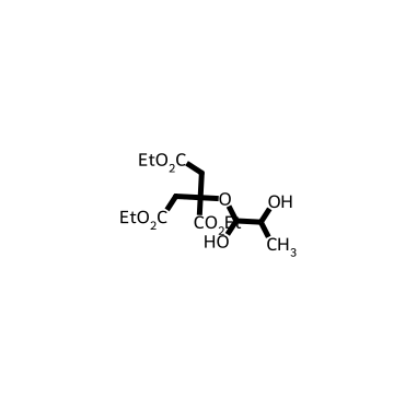 CCOC(=O)CC(CC(=O)OCC)(OC(O)C(C)O)C(=O)OCC